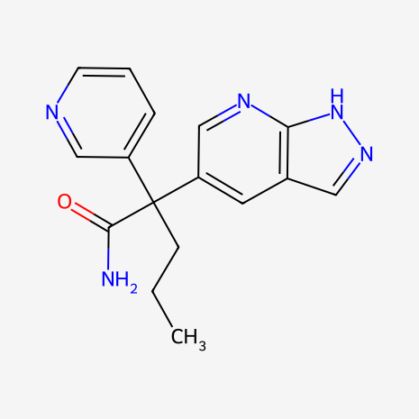 CCCC(C(N)=O)(c1cccnc1)c1cnc2[nH]ncc2c1